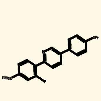 CCCCCCc1ccc(-c2ccc(-c3ccc(CCC)cc3)cn2)c(F)c1